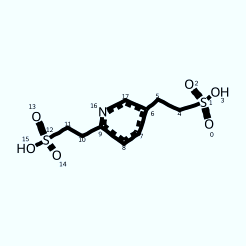 O=S(=O)(O)CCc1ccc(CCS(=O)(=O)O)nc1